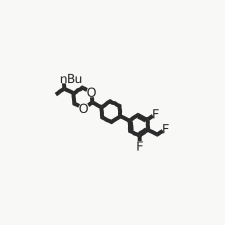 CCCCC(C)C1COC(C2CCC(c3cc(F)c(CF)c(F)c3)CC2)OC1